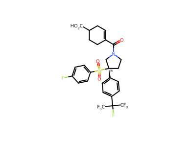 O=C(O)C1CC=C(C(=O)N2CC[C@](c3ccc(C(F)(C(F)(F)F)C(F)(F)F)cc3)(S(=O)(=O)c3ccc(F)cc3)C2)CC1